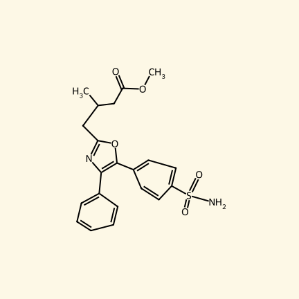 COC(=O)CC(C)Cc1nc(-c2ccccc2)c(-c2ccc(S(N)(=O)=O)cc2)o1